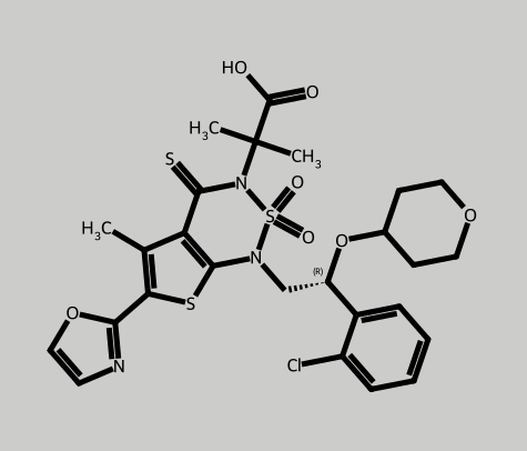 Cc1c(-c2ncco2)sc2c1C(=S)N(C(C)(C)C(=O)O)S(=O)(=O)N2C[C@H](OC1CCOCC1)c1ccccc1Cl